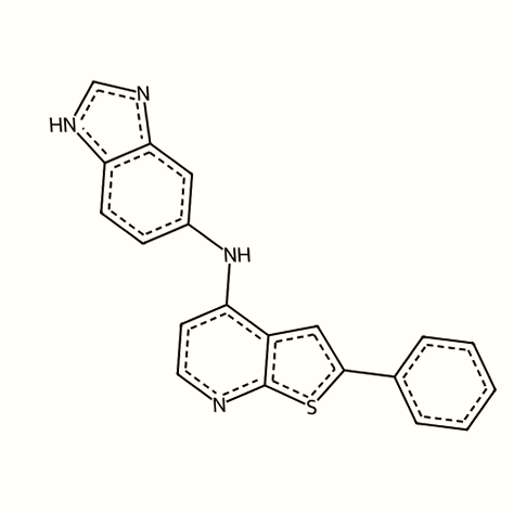 c1ccc(-c2cc3c(Nc4ccc5[nH]cnc5c4)ccnc3s2)cc1